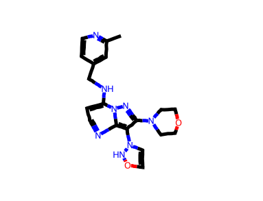 Cc1cc(CNc2ccnc3c(N4C=CON4)c(N4CCOCC4)nn23)ccn1